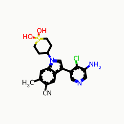 Cc1cc2c(cc1C#N)c(-c1cncc(N)c1Cl)cn2C1CCS(O)(O)CC1